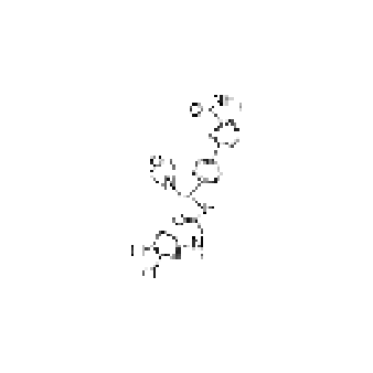 CN(CC(=O)N(C)C(CN1CCOCC1)c1ccc(-c2cccc(C(N)=O)c2)cc1)c1ccc(Cl)c(Cl)c1